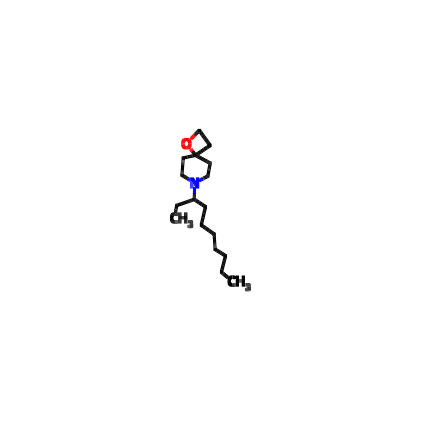 CCCCCCCC(CC)N1CCC2(CCO2)CC1